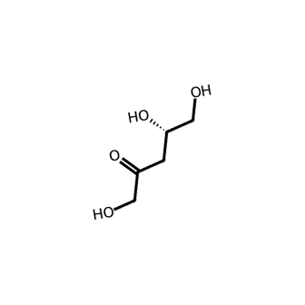 O=C(CO)C[C@H](O)CO